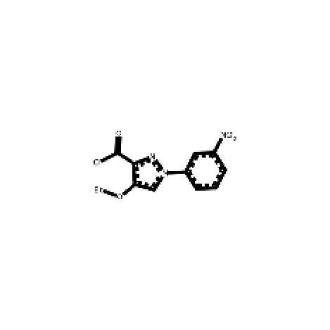 CCOc1cn(-c2cccc([N+](=O)[O-])c2)nc1C(=O)Cl